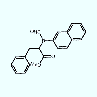 COC(=O)C(Cc1ccccc1)N(C=O)c1ccc2ccccc2c1